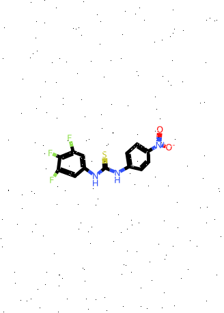 O=[N+]([O-])c1ccc(NC(=S)Nc2cc(F)c(F)c(F)c2)cc1